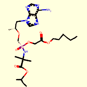 CCCCCOC(=O)CO[P@@](=O)(CO[C@H](C)Cn1cnc2c(N)ncnc21)NC(C)(C)C(=O)OC(C)C